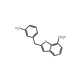 O=C(O)c1cccc2cc(Cc3cccc(C(F)(F)F)c3)sc12